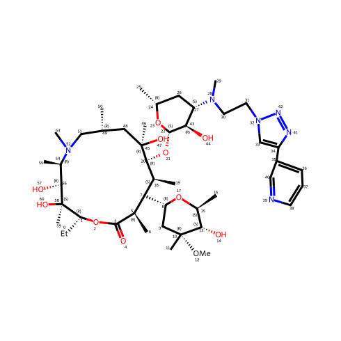 CC[C@H]1OC(=O)[C@H](C)C([C@H]2C[C@@](C)(OC)[C@@H](O)[C@H](C)O2)[C@H](C)[C@@H](O[C@@H]2O[C@H](C)C[C@H](N(C)CCn3cc(-c4cccnc4)nn3)[C@H]2O)[C@](C)(O)C[C@@H](C)CN(C)[C@H](C)[C@@H](O)[C@]1(C)O